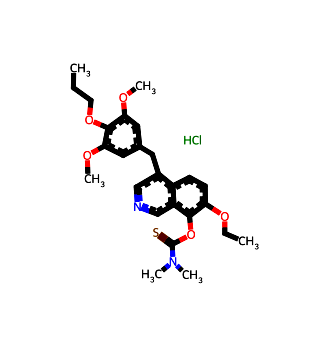 CCCOc1c(OC)cc(Cc2cncc3c(OC(=S)N(C)C)c(OCC)ccc23)cc1OC.Cl